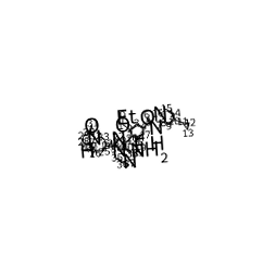 CCOc1cc(C(=O)Nc2cc(C3CC3)ccn2)cc(F)c1-c1nc([C@@H]2CC[C@H]3CCC(=O)N3C2)n2ccnc(N)c12